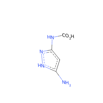 Nc1cc(NC(=O)O)n[nH]1